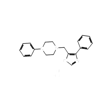 Cl.Cl.c1ccc(-c2nc[nH]c2CN2CCN(c3ccccc3)CC2)cc1